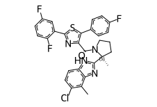 Cc1c(Cl)ccc2[nH]c([C@]3(C)CCCN3C(=O)c3nc(-c4cc(F)ccc4F)sc3-c3ccc(F)cc3)nc12